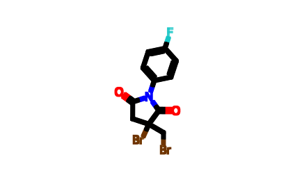 O=C1CC(Br)(CBr)C(=O)N1c1ccc(F)cc1